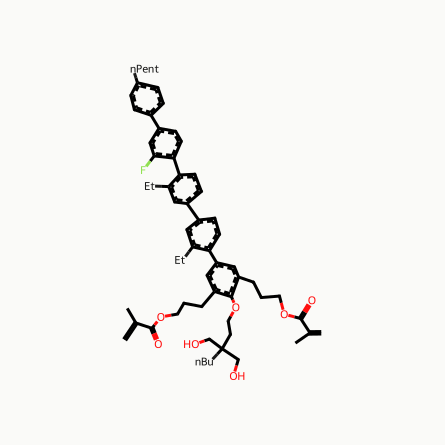 C=C(C)C(=O)OCCCc1cc(-c2ccc(-c3ccc(-c4ccc(-c5ccc(CCCCC)cc5)cc4F)c(CC)c3)cc2CC)cc(CCCOC(=O)C(=C)C)c1OCCC(CO)(CO)CCCC